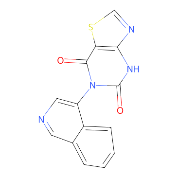 O=c1[nH]c2ncsc2c(=O)n1-c1cncc2ccccc12